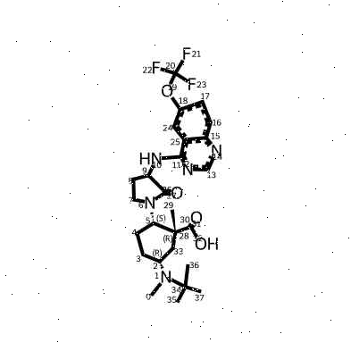 CN([C@@H]1CC[C@H](N2CCC(Nc3ncnc4ccc(OC(F)(F)F)cc34)C2=O)[C@](C)(C(=O)O)C1)C(C)(C)C